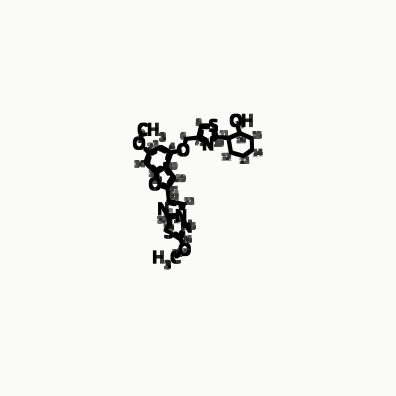 COc1cc(OCc2csc(C3CCCCC3O)n2)c2cc(-c3cn4nc(OC)sc4n3)oc2c1